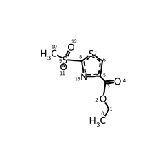 CCOC(=O)c1csc(S(C)(=O)=O)n1